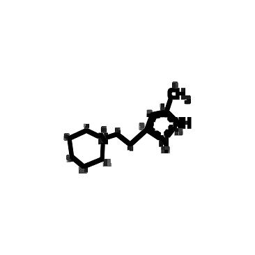 Cc1cc(CCN2CC[CH]CC2)n[nH]1